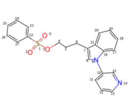 O=S(=O)(OCCCc1cn(-c2cccnc2)c2ccccc12)c1ccccc1